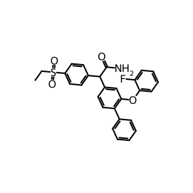 CCS(=O)(=O)c1ccc(C(C(N)=O)c2ccc(-c3ccccc3)c(Oc3ccccc3F)c2)cc1